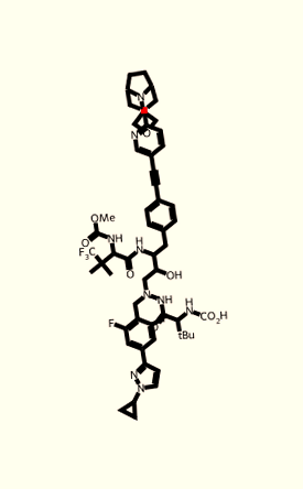 COC(=O)NC(C(=O)NC(Cc1ccc(C#Cc2ccc(N3CC4CCC(C3)N4C3COC3)nc2)cc1)C(O)CN(Cc1c(F)cc(-c2ccn(C3CC3)n2)cc1F)NC(=O)C(NC(=O)O)C(C)(C)C)C(C)(C)C(F)(F)F